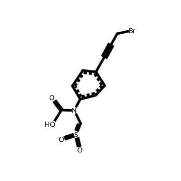 O=C(O)N(C=S(=O)=O)c1ccc(C#CCBr)cc1